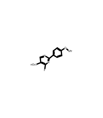 CCCCCCCCc1cnc(-c2ccc(OCCC)cc2)nc1F